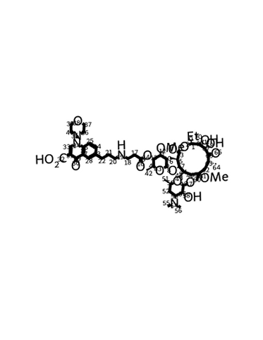 CC[C@H]1OC(=O)[C@H](C)[C@@H](O[C@H]2C[C@@H](OC)[C@@H](OC(=O)CCNCCCc3ccc4c(c3)c(=O)c(C(=O)O)cn4N3CCOCC3)[C@H](C)O2)[C@H](C)[C@@H](O[C@@H]2O[C@H](C)C[C@H](N(C)C)[C@H]2O)[C@](C)(OC)C[C@@H](C)C(=O)[C@@H](O)[C@]1(C)O